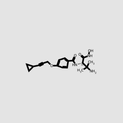 CC(C)(N)[C@H](NC(=O)c1ccc(OCC#CC2CC2)cc1)C(=O)NO